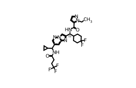 CCn1nccc1C(=O)N[C@H](c1cn2ncc(C(NC(=O)CCC(F)(F)F)C3CC3)cc2n1)C1CCC(F)(F)CC1